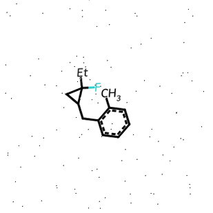 CCC1(F)CC1Cc1ccccc1C